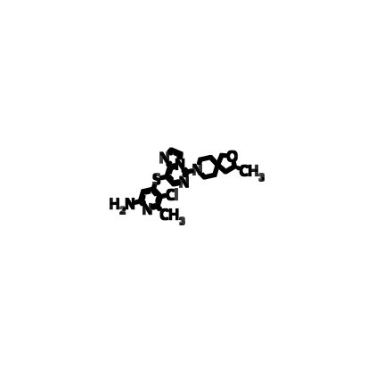 Cc1nc(N)cc(Sc2cnc(N3CCC4(CC3)CO[C@@H](C)C4)n3ccnc23)c1Cl